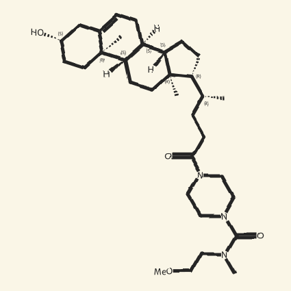 COCCN(C)C(=O)N1CCN(C(=O)CC[C@@H](C)[C@H]2CC[C@H]3[C@@H]4CC=C5C[C@@H](O)CC[C@]5(C)[C@H]4CC[C@]23C)CC1